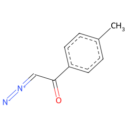 Cc1ccc(C(=O)C=[N+]=[N-])cc1